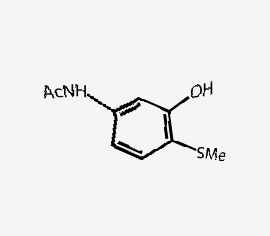 CSc1ccc(NC(C)=O)cc1O